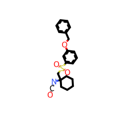 O=C=NC1(CS(=O)(=O)c2cccc(OCc3ccccc3)c2)CCCCC1